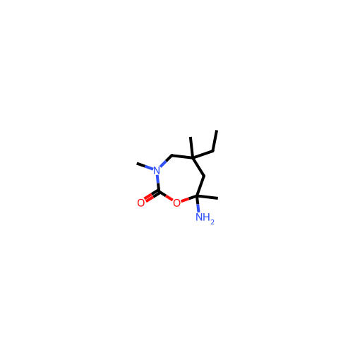 CCC1(C)CN(C)C(=O)OC(C)(N)C1